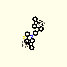 CC1(C)c2ccccc2-c2ccc(N(c3ccc(-c4ccccc4-c4cccc5c4C(C)(C)c4ccccc4-5)cc3)c3cccc4sc5ccccc5c34)cc21